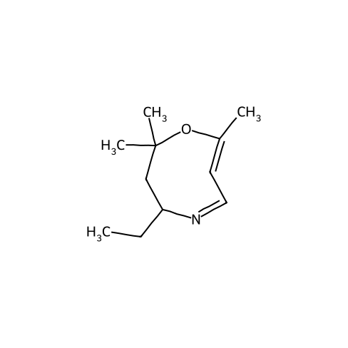 CCC1CC(C)(C)O/C(C)=C/C=N\1